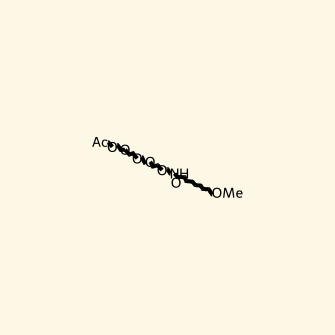 COCCCCCCCCC(=O)NCCOCCOCCOCCOCCOCC(C)=O